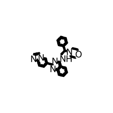 c1ccc(C(CNc2nc(-c3ccc4nccn4c3)nc3ccccc23)N2CCOCC2)cc1